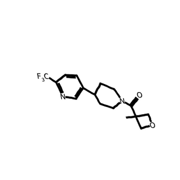 CC1(C(=O)N2CCC(c3ccc(C(F)(F)F)nc3)CC2)COC1